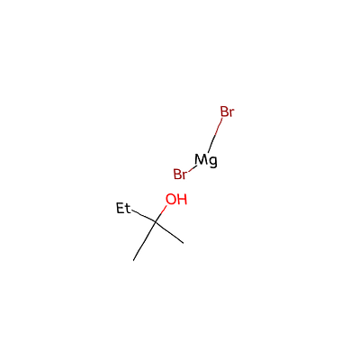 [Br][Mg][Br].[CH2]CC(C)(C)O